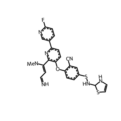 CN/C(=C\C=N)c1nc(-c2ccc(F)nc2)ccc1Oc1ccc(SNC2NC=CS2)cc1C#N